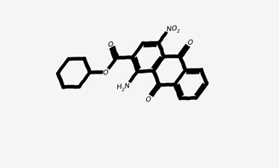 Nc1c(C(=O)OC2CCCCC2)cc([N+](=O)[O-])c2c1C(=O)c1ccccc1C2=O